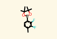 Cc1ccc(B2OC(C)(C)C(C)(C)O2)c(F)c1F